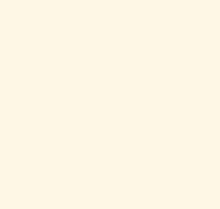 CCCCCC1CC(CCCC)OC1=O